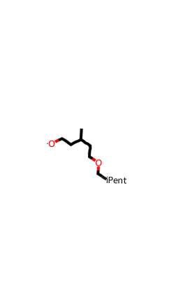 CCCC(C)COCCC(C)CC[O]